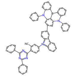 N#Cc1cc(-n2c3ccccc3c3cc(-c4cc5c6c(c4)N(c4ccccc4)c4ccccc4B6c4ccccc4N5c4ccccc4)ccc32)ccc1-c1nc(-c2ccccc2)nc(-c2ccccc2)n1